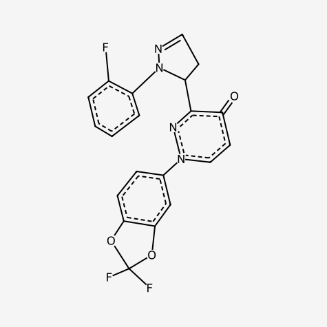 O=c1ccn(-c2ccc3c(c2)OC(F)(F)O3)nc1C1CC=NN1c1ccccc1F